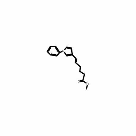 COC(=O)CCCC=Cc1ccn(-c2ccccc2)c1